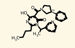 CCCCc1nc(O)c(C(=O)N2CC[C@@H](c3ccccc3)C2)c(=O)n1C(C)c1cccnc1